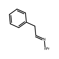 C[CH]CN=CCc1ccccc1